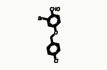 O=Cc1ccc(OCc2ccc(Cl)cc2)cc1Br